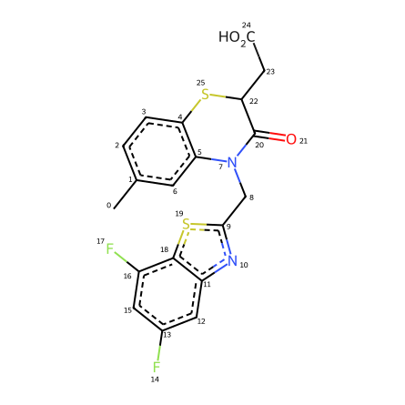 Cc1ccc2c(c1)N(Cc1nc3cc(F)cc(F)c3s1)C(=O)C(CC(=O)O)S2